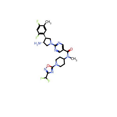 Cc1cc([C@H]2CN(c3ncc(C(=O)N(C)C4CCN(c5nc(C(F)F)no5)CC4)cn3)C[C@@H]2N)c(F)cc1F